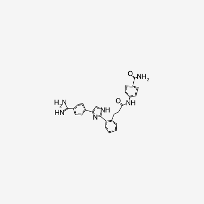 N=C(N)c1ccc(-c2c[nH]c(-c3ccccc3CCC(=O)Nc3ccc(C(N)=O)cc3)n2)cc1